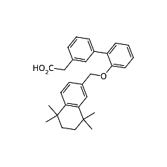 CC1(C)CCC(C)(C)c2cc(COc3ccccc3-c3cccc(CC(=O)O)c3)ccc21